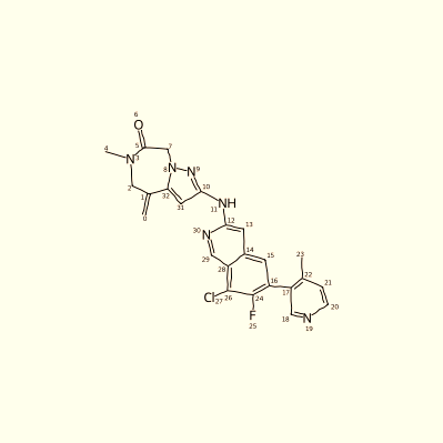 C=C1CN(C)C(=O)Cn2nc(Nc3cc4cc(-c5cnccc5C)c(F)c(Cl)c4cn3)cc21